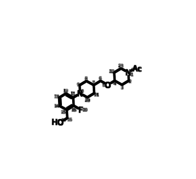 CC(=O)N1CCC(OCC2CCN(c3cccc(CO)c3F)CC2)CC1